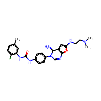 CN(C)CCNc1cc2c(o1)N=CN(c1ccc(NC(=O)Nc3cc(C(F)(F)F)ccc3F)cc1)C2N